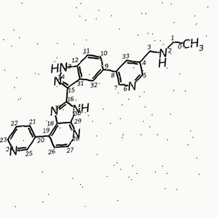 CCNCc1cncc(-c2ccc3[nH]nc(-c4nc5c(-c6cccnc6)ccnc5[nH]4)c3c2)c1